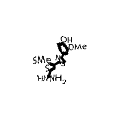 COc1cc(-c2csc(-c3cc(C(=N)N)sc3SC)n2)ccc1O